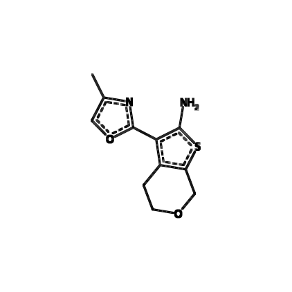 Cc1coc(-c2c(N)sc3c2CCOC3)n1